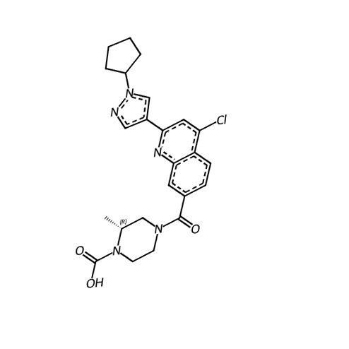 C[C@@H]1CN(C(=O)c2ccc3c(Cl)cc(-c4cnn(C5CCCC5)c4)nc3c2)CCN1C(=O)O